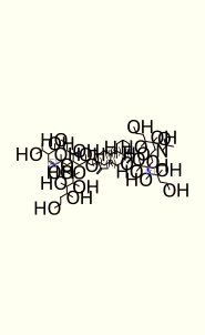 C=C1C[C@@]23CCC4[C@](C)(C(=O)OC(O)/C(OC(O)C(NC(C)=O)C(O)C(O)CCO)=C(\O)C(O)CCO)CCC[C@@]4(C)[C@@H]2CC[C@]1(OC(O)C(OC(O)C(O)C(O)C(O)CCO)C(OC(O)/C(O)=C\C(CO)C(C)O)C(O)CCO)C3